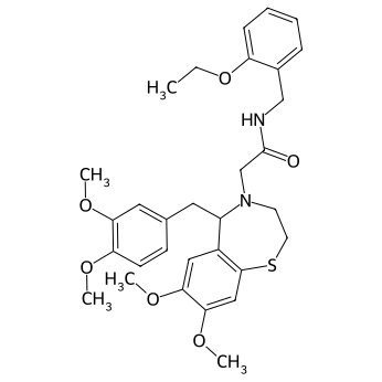 CCOc1ccccc1CNC(=O)CN1CCSc2cc(OC)c(OC)cc2C1Cc1ccc(OC)c(OC)c1